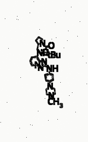 CN1CCN(c2ccc(Nc3nc4c(NCC5CCCN5C(=O)OC(C)(C)C)cccn4n3)cc2)CC1